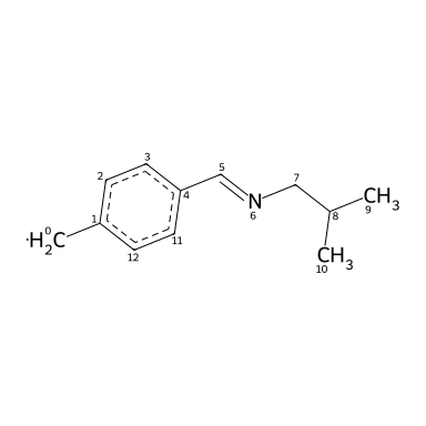 [CH2]c1ccc(C=NCC(C)C)cc1